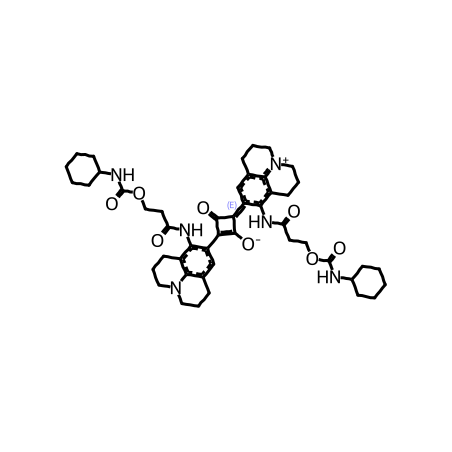 O=C(CCOC(=O)NC1CCCCC1)Nc1c(C2=C([O-])/C(=c3/cc4c5c(c3NC(=O)CCOC(=O)NC3CCCCC3)CCC[N+]=5CCC4)C2=O)cc2c3c1CCCN3CCC2